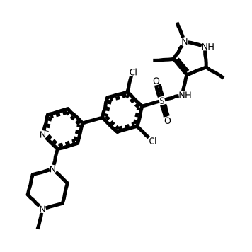 CC1=C(NS(=O)(=O)c2c(Cl)cc(-c3ccnc(N4CCN(C)CC4)c3)cc2Cl)C(C)NN1C